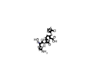 Nc1nc(/C(=N/O)C(=O)N[C@@H]2C(=O)N3C(C(=O)O)=C(Sc4nnsc4Cl)CC[C@H]23)ns1